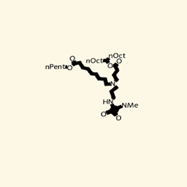 CCCCCCCCC(CCCCCCCC)OC(=O)CCCN(CCCCCCCCC(=O)OCCCCC)CCCNc1c(NC)c(=O)c1=O